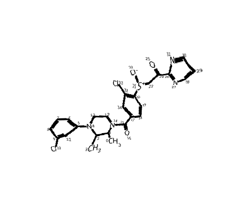 CC1C(C)N(c2cccc(Cl)c2)CCN1C(=O)c1ccc([S+]([O-])CC(=O)c2ncccn2)c(Cl)c1